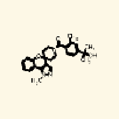 Cc1cc(C(C)(C)O)ccc1C(=O)N1CCC2(CC1)Oc1ccccc1-c1c2cnn1C